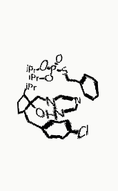 CC(C)C1CCC(Cc2ccc(Cl)cc2)C1(O)Cn1cncn1.CC(C)OP(=O)(OC(C)C)SCc1ccccc1